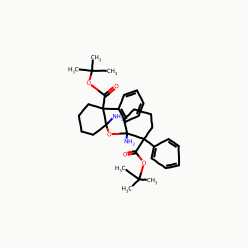 CC(C)(C)OC(=O)C1(c2ccccc2)CCCCC1(N)OC1(N)CCCCC1(C(=O)OC(C)(C)C)c1ccccc1